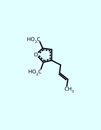 CC=CCc1cc(C(=O)O)oc1C(=O)O